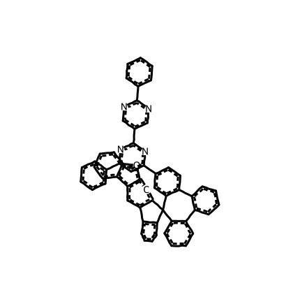 c1ccc(-c2cc(-c3ccc4c(c3)C3(c5ccccc5-c5ccccc5-4)c4ccccc4-c4cc5c(cc43)oc3ccccc35)nc(-c3cnc(-c4ccccc4)nc3)n2)cc1